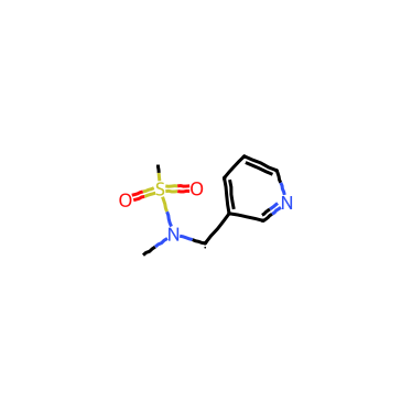 CN([CH]c1cccnc1)S(C)(=O)=O